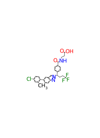 Cc1cc(Cl)ccc1-c1ccc2nn(C(CCC(F)(F)F)c3ccc(C(=O)NCCC(=O)O)cc3)cc2c1